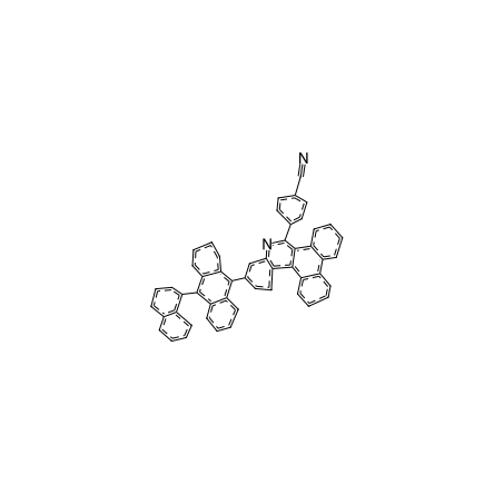 N#Cc1ccc(-c2nc3cc(-c4c5ccccc5c(-c5cccc6ccccc56)c5ccccc45)ccc3c3c4ccccc4c4ccccc4c23)cc1